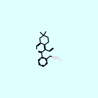 BCc1ccccc1C(=C)/C(C=C)=C1/CCC(C)(C)C/C1=C/C